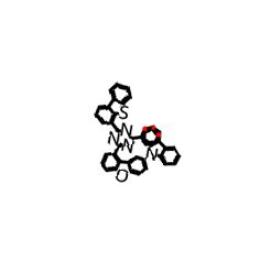 c1ccc(-c2nc(-c3cccc4c3sc3ccccc34)nc(-c3cccc4oc5ccc(-n6c7ccccc7c7ccccc76)cc5c34)n2)cc1